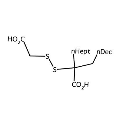 CCCCCCCCCCCC(CCCCCCC)(SSCC(=O)O)C(=O)O